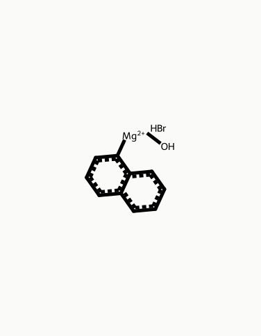 Br.CO.[Mg+2][c]1cccc2ccccc12